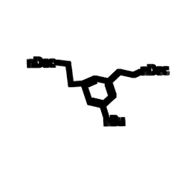 [CH2]CCCc1cc(CCCCCCCCCCCC)cc(CCCCCCCCCCCC)c1